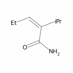 CCC=C(C(N)=O)C(C)C